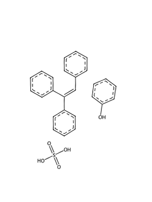 C(=C(c1ccccc1)c1ccccc1)c1ccccc1.O=S(=O)(O)O.Oc1ccccc1